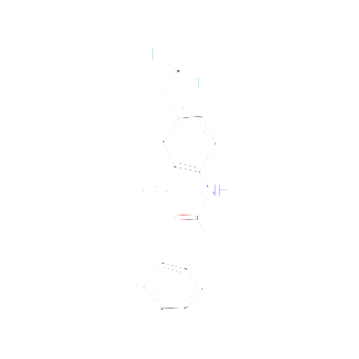 O=C(Nc1ccc(OC(F)(F)F)cc1Cl)Oc1ccccc1